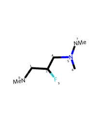 CNCC(F)CN(C)NC